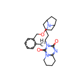 Cc1ccccc1COC1CC2CCC(C1)N2CCCn1c(=O)nc2n(c1=O)CCCC2